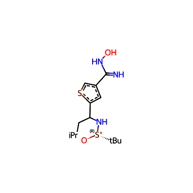 CC(C)CC(N[S@@+]([O-])C(C)(C)C)c1cc(C(=N)NO)cs1